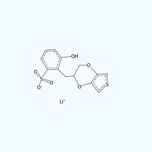 O=S(=O)([O-])c1cccc(O)c1CC1COc2cscc2O1.[Li+]